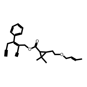 C#CCC(=C(C#C)COC(=O)C1C(CCOCC=CC)C1(C)C)c1ccccc1